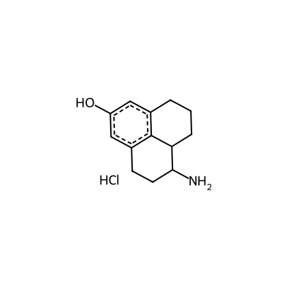 Cl.NC1CCc2cc(O)cc3c2C1CCC3